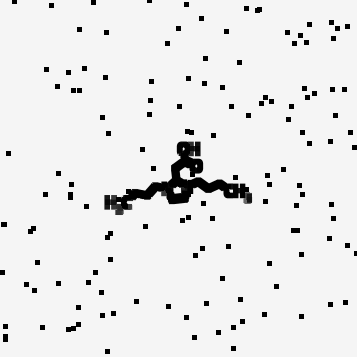 CCCCN1C=CN(CCCC)C1CC(=O)O